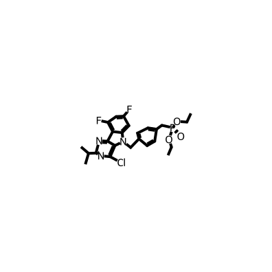 CCOP(=O)(Cc1ccc(Cn2c3cc(F)cc(F)c3c3nc(C(C)C)nc(Cl)c32)cc1)OCC